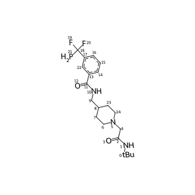 CC(C)(C)NC(=O)CN1CCC(CNC(=O)c2cccc(C(F)(F)P)c2)CC1